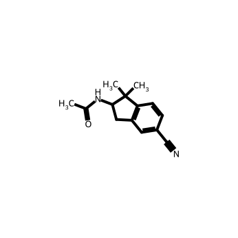 CC(=O)NC1Cc2cc(C#N)ccc2C1(C)C